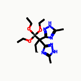 [CH2]CC(c1n[nH]c(C)n1)(c1n[nH]c(C)n1)[Si](OCC)(OCC)OCC